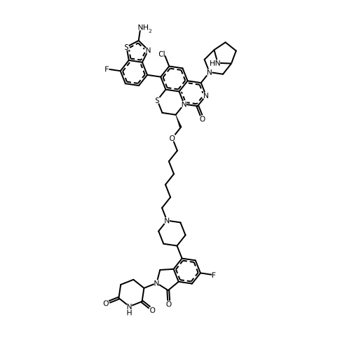 Nc1nc2c(-c3c(Cl)cc4c(N5CC6CCC(C5)N6)nc(=O)n5c4c3SC[C@@H]5COCCCCCCN3CCC(c4cc(F)cc5c4CN(C4CCC(=O)NC4=O)C5=O)CC3)ccc(F)c2s1